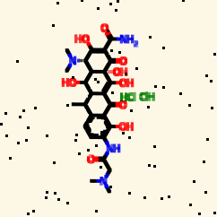 CC1c2ccc(NC(=O)CN(C)C)c(O)c2C(=O)C2=C(O)[C@]3(O)C(=O)C(C(N)=O)=C(O)[C@@H](N(C)C)C3C(O)C21.Cl.Cl